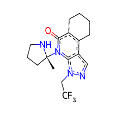 C[C@@]1(n2c(=O)c3c(c4cnn(CC(F)(F)F)c42)CCCC3)CCCN1